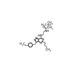 C=Cc1ccc(Cn2nnc3c(NCCNC(=O)OC(C)(C)C)nc(SCCC)nc32)cc1